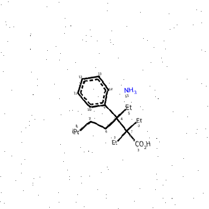 CCC(CC)(C(=O)O)C(CC)(CCC(C)C)c1ccccc1.N